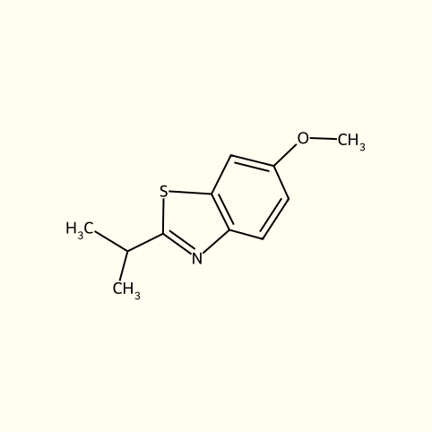 COc1ccc2nc(C(C)C)sc2c1